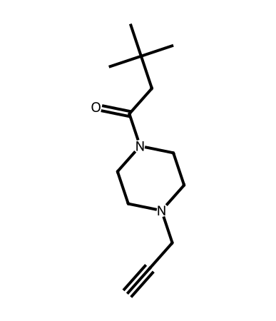 C#CCN1CCN(C(=O)CC(C)(C)C)CC1